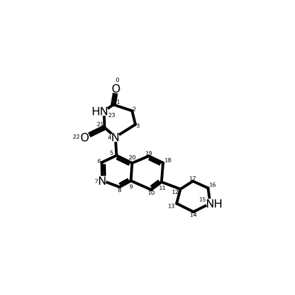 O=C1CCN(c2cncc3cc(C4CCNCC4)ccc23)C(=O)N1